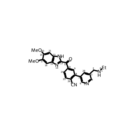 CCNCc1cncc(-c2cc(C(=O)c3nc4cc(OC)c(OC)cc4[nH]3)ccc2C#N)c1